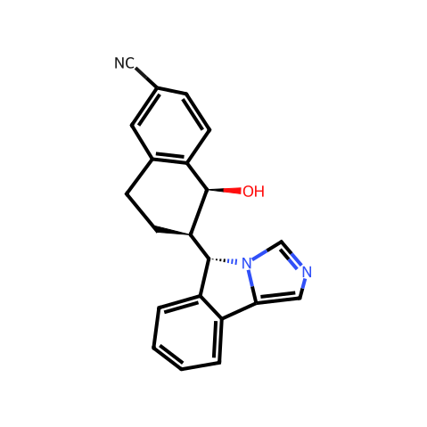 N#Cc1ccc2c(c1)CC[C@H]([C@H]1c3ccccc3-c3cncn31)[C@@H]2O